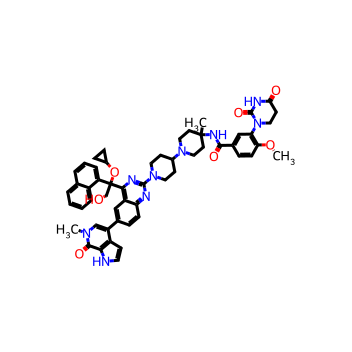 COc1ccc(C(=O)NC2(C)CCN(C3CCN(c4nc(C(CO)(OC5CC5)c5cccc6ccccc56)c5cc(-c6cn(C)c(=O)c7[nH]ccc67)ccc5n4)CC3)CC2)cc1N1CCC(=O)NC1=O